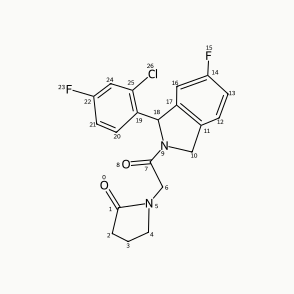 O=C1CCCN1CC(=O)N1Cc2ccc(F)cc2C1c1ccc(F)cc1Cl